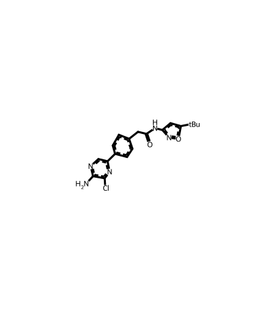 CC(C)(C)c1cc(NC(=O)Cc2ccc(-c3cnc(N)c(Cl)n3)cc2)no1